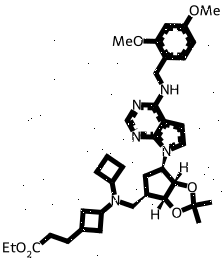 CCOC(=O)CCC1CC(N(C[C@H]2C[C@@H](n3ccc4c(NCc5ccc(OC)cc5OC)ncnc43)[C@@H]3OC(C)(C)O[C@H]23)C2CCC2)C1